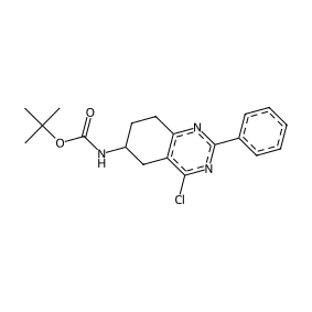 CC(C)(C)OC(=O)NC1CCc2nc(-c3ccccc3)nc(Cl)c2C1